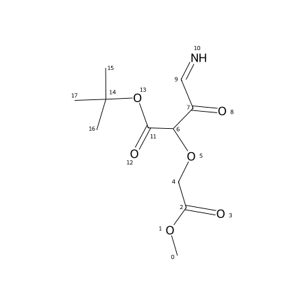 COC(=O)COC(C(=O)C=N)C(=O)OC(C)(C)C